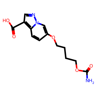 NC(=O)OCCCCOc1ccc2c(C(=O)O)cnn2c1